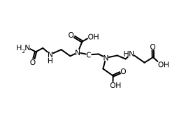 NC(=O)CNCCN(CCN(CCNCC(=O)O)CC(=O)O)C(=O)O